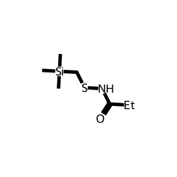 CCC(=O)NSC[Si](C)(C)C